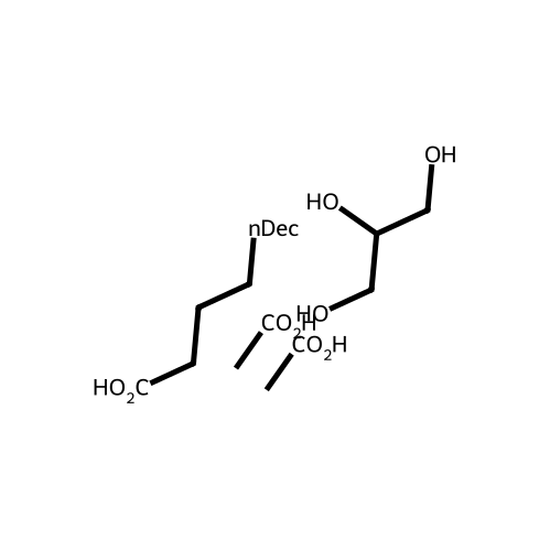 CC(=O)O.CC(=O)O.CCCCCCCCCCCCCC(=O)O.OCC(O)CO